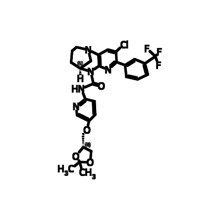 CC1(C)OC[C@@H](COc2ccc(NC(=O)N3c4nc(-c5cccc(C(F)(F)F)c5)c(Cl)cc4N4CCC[C@H]3C4)nc2)O1